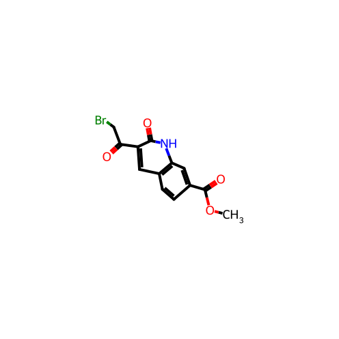 COC(=O)c1ccc2cc(C(=O)CBr)c(=O)[nH]c2c1